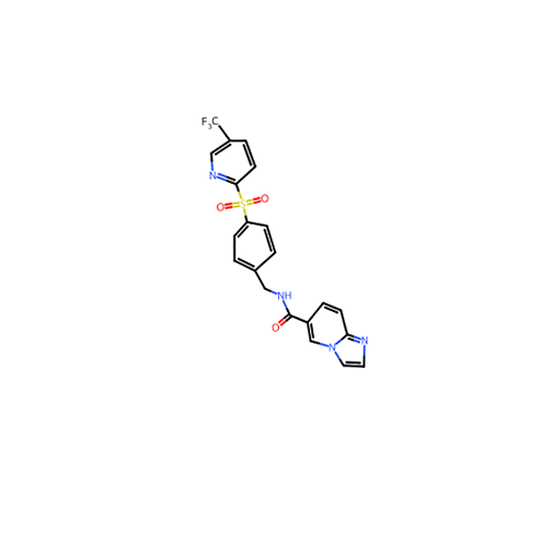 O=C(NCc1ccc(S(=O)(=O)c2ccc(C(F)(F)F)cn2)cc1)c1ccc2nccn2c1